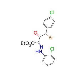 CCOC(=O)/C(=N\Nc1ccccc1Cl)C(=O)C(Br)c1ccc(Cl)cc1